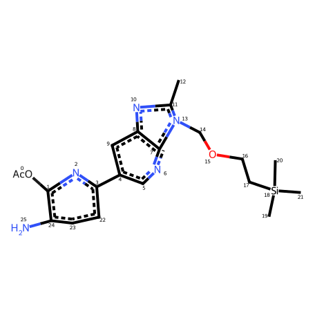 CC(=O)Oc1nc(-c2cnc3c(c2)nc(C)n3COCC[Si](C)(C)C)ccc1N